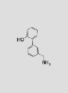 NCc1cccc(-c2ccccc2O)c1